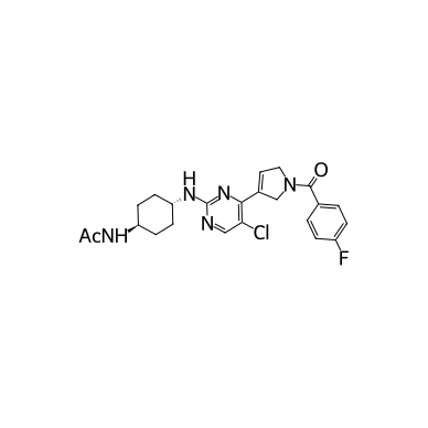 CC(=O)N[C@H]1CC[C@H](Nc2ncc(Cl)c(C3=CCN(C(=O)c4ccc(F)cc4)C3)n2)CC1